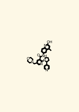 Cc1cc(O)nc2ccc(NC(=O)c3cc(CN4CCOCC4)cnc3N3CCCC3c3ccncc3)cc12